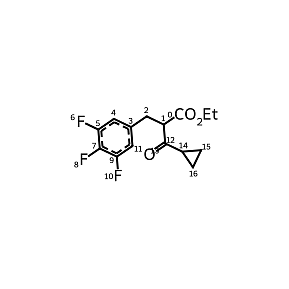 CCOC(=O)C(Cc1cc(F)c(F)c(F)c1)C(=O)C1CC1